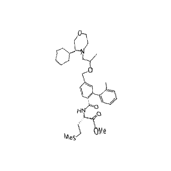 COC(=O)[C@H](CCSC)NC(=O)c1ccc(COC(C)CN2CCOCC2C2CCCCC2)cc1-c1ccccc1C